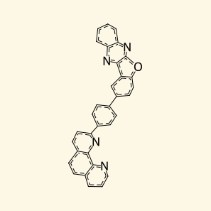 c1cnc2c(c1)ccc1ccc(-c3ccc(-c4ccc5oc6nc7ccccc7nc6c5c4)cc3)nc12